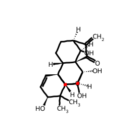 C=C1C(=O)[C@]23[C@H](O)[C@H]1CC[C@H]2[C@]12C=C[C@H](O)C(C)(C)[C@H]1[C@H](O)[C@@]3(O)OC2